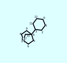 C1CCC(C23CCN(CC2)C3)CC1